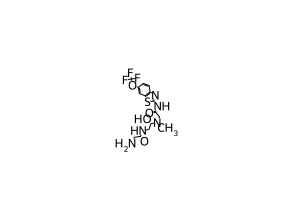 CN(CC(=O)Nc1nc2ccc(OC(F)(F)F)cc2s1)C(O)CNC(=O)CN